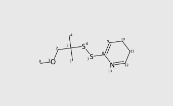 COCC(C)(C)SSC1=CCCC=N1